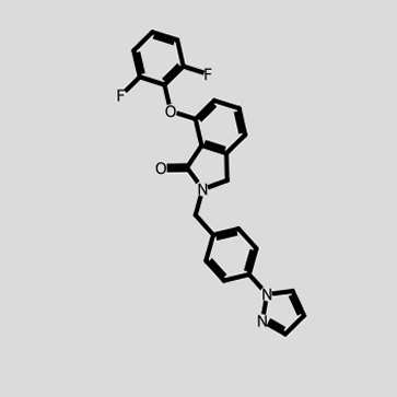 O=C1c2c(cccc2Oc2c(F)cccc2F)CN1Cc1ccc(-n2cccn2)cc1